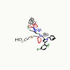 CC(C)(C)OC(=O)NC(CF)CCN(C(=O)CSCCC(=O)O)[C@@H](c1cc(-c2cc(F)ccc2F)cn1Cc1ccccc1)C(C)(C)C